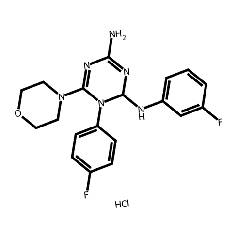 Cl.NC1=NC(Nc2cccc(F)c2)N(c2ccc(F)cc2)C(N2CCOCC2)=N1